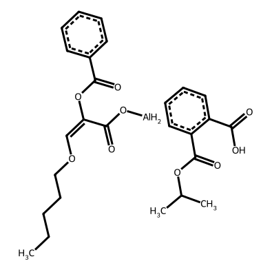 CC(C)OC(=O)c1ccccc1C(=O)O.CCCCCOC=C(OC(=O)c1ccccc1)C(=O)[O][AlH2]